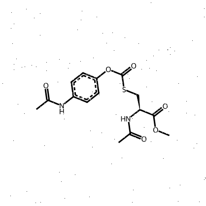 COC(=O)[C@H](CSC(=O)Oc1ccc(NC(C)=O)cc1)NC(C)=O